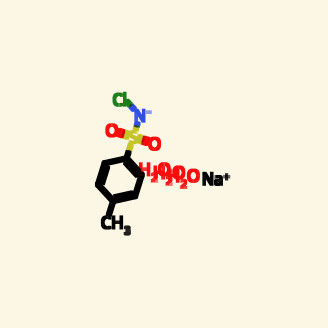 Cc1ccc(S(=O)(=O)[N-]Cl)cc1.O.O.O.[Na+]